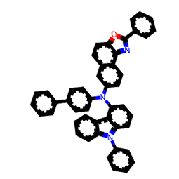 c1ccc(-c2ccc(N(c3ccc4c(ccc5oc(-c6ccccc6)nc54)c3)c3cccc4c3c3ccccc3n4-c3ccccc3)cc2)cc1